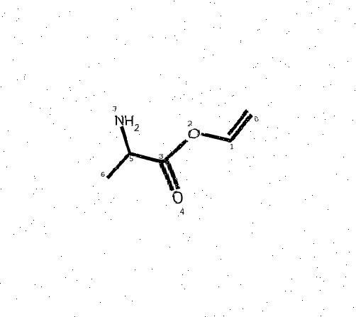 C=COC(=O)C(C)N